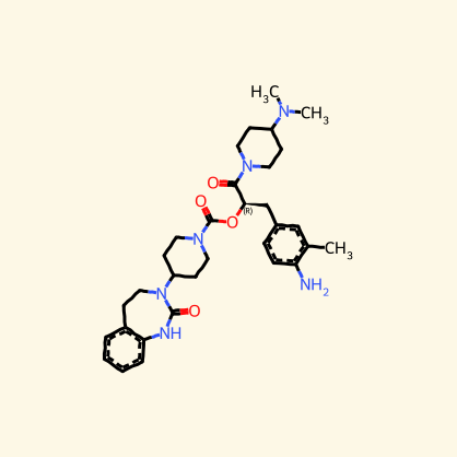 Cc1cc(C[C@@H](OC(=O)N2CCC(N3CCc4ccccc4NC3=O)CC2)C(=O)N2CCC(N(C)C)CC2)ccc1N